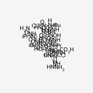 CC[C@H](C)[C@H](NC(=O)CNC(=O)[C@H](Cc1ccccc1)NC(=O)CNC(=O)CNC(=O)[C@H](CO)NC(=O)[C@H](CO)NC(=O)[C@@H](NC(=O)[C@@H]1CCCN1C(=O)[C@@H](NC(=O)CN)C(C)C)[C@@H](C)CC)C(=O)N[C@@H](CO)C(=O)NCC(=O)N[C@@H](CC(C)C)C(=O)NCC(=O)N[C@@H](CO)C(=O)N[C@@H](CCCNC(=N)N)C(=O)N[C@@H](Cc1ccccc1)C(=O)N[C@@H](CO)C(=O)O